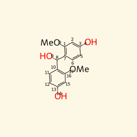 COc1cc(O)ccc1C(O)c1ccc(O)cc1OC